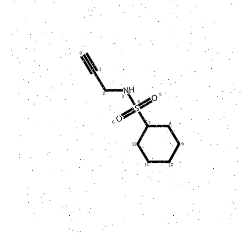 C#CCNS(=O)(=O)C1CCCCC1